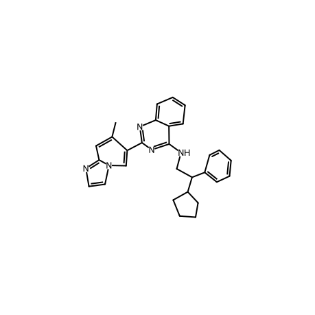 Cc1cc2nccn2cc1-c1nc(NCC(c2ccccc2)C2CCCC2)c2ccccc2n1